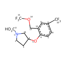 O=C(O)N1CCC(Oc2ccc(C(F)(F)F)cc2COC(F)(F)F)C1